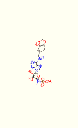 CN([C@@H]1O[C@@H](n2cnc3c(NCc4ccc5c(c4)OCO5)ncnc32)[C@H](O)[C@@H]1O)S(=O)(=O)O